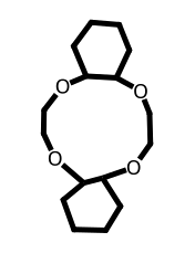 C1CCC2OCCOC3CCCCC3OCCOC2C1